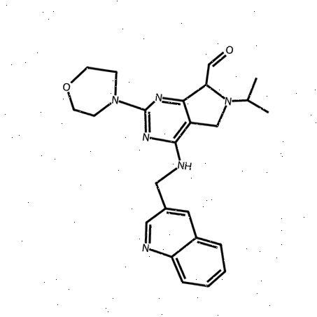 CC(C)N1Cc2c(NCc3cnc4ccccc4c3)nc(N3CCOCC3)nc2C1C=O